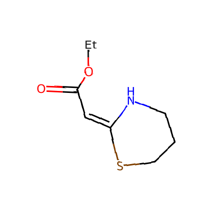 CCOC(=O)C=C1NCCCS1